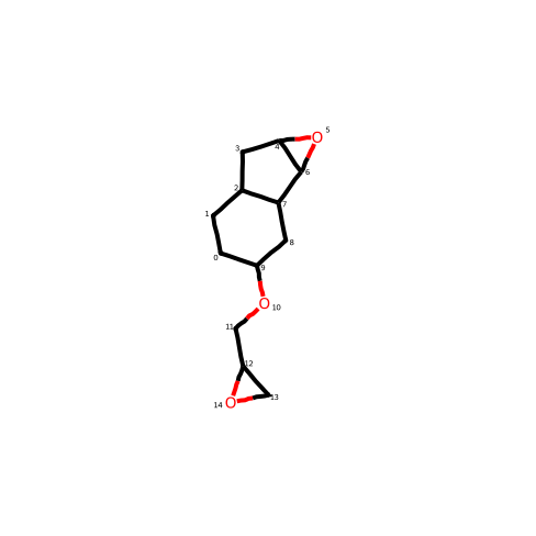 C1CC2CC3OC3C2CC1OCC1CO1